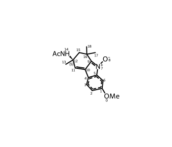 COc1ccc2c(c1)[N+]([O-])=C1C2=C[C@@](C)(NC(C)=O)CC1(C)C